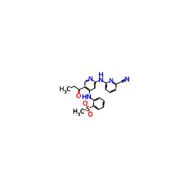 CCC(=O)c1cnc(Nc2cccc(C#N)n2)cc1Nc1ccccc1S(C)(=O)=O